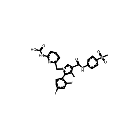 Cc1c(C(=O)Nc2ccc(S(C)(=O)=O)cc2)cn(Cc2cccc(NC(=O)O)n2)c1-c1ccc(F)cc1F